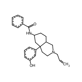 C=CCN1CCC2(c3cccc(O)c3)CC(NC(=O)c3ccccc3)CCC2C1